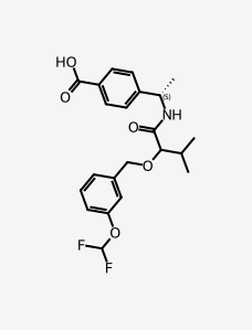 CC(C)C(OCc1cccc(OC(F)F)c1)C(=O)N[C@@H](C)c1ccc(C(=O)O)cc1